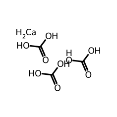 O=C(O)O.O=C(O)O.O=C(O)O.[CaH2]